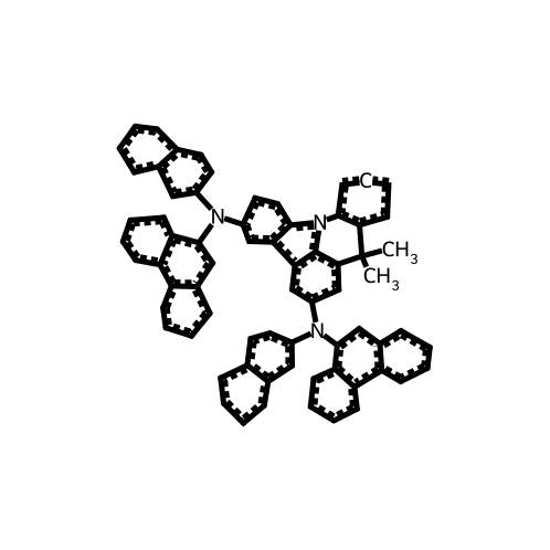 CC1(C)c2ccccc2-n2c3ccc(N(c4ccc5ccccc5c4)c4cc5ccccc5c5ccccc45)cc3c3cc(N(c4ccc5ccccc5c4)c4cc5ccccc5c5ccccc45)cc1c32